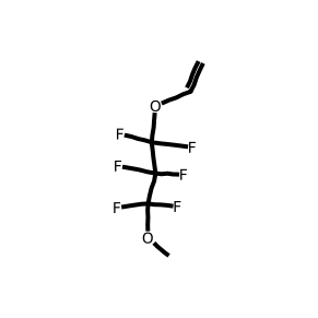 C=COC(F)(F)C(F)(F)C(F)(F)OC